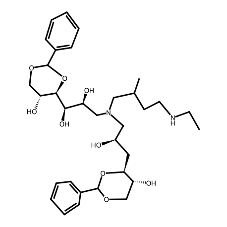 CCNCCC(C)CN(C[C@H](O)C[C@@H]1OC(c2ccccc2)OC[C@H]1O)C[C@H](O)[C@@H](O)[C@@H]1OC(c2ccccc2)OC[C@H]1O